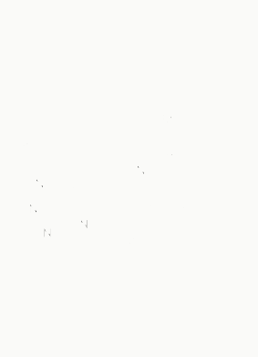 Cn1nnnc1CN1C(=O)c2ccccc2C1=O